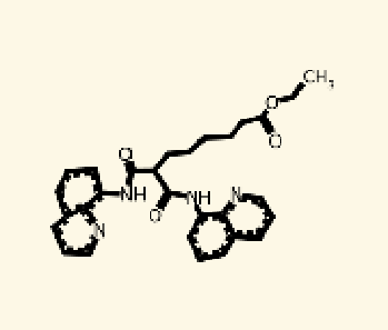 CCOC(=O)CCCCCC(C(=O)Nc1cccc2cccnc12)C(=O)Nc1cccc2cccnc12